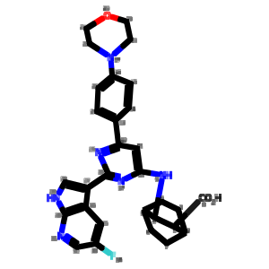 O=C(O)C1C2CCC(CC2)C1Nc1cc(-c2ccc(N3CCOCC3)cc2)nc(-c2c[nH]c3ncc(F)cc23)n1